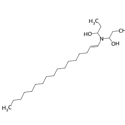 CCCCCCCCCCCCCCCC=CN(C(O)CC)C(O)CC